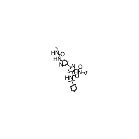 CCNC(=O)Nc1ccc(-c2nc(C(=O)NC3CC3)c(C(=O)NC(C)(C)c3ccccc3)s2)cn1